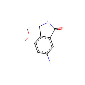 CC(C)(C)OC=O.Nc1ccc2c(c1)C(=O)NC2